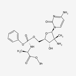 CC(C)OC(=O)[C@@H](C)N[P@](=O)(OC[C@H]1O[C@@H](n2ccc(N)nc2=O)[C@](C)(N)[C@@H]1O)Oc1ccccc1